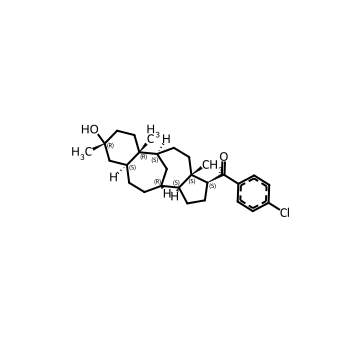 C[C@@]1(O)CC[C@]2(C)[C@H]3CC[C@]4(C)[C@@H](C(=O)c5ccc(Cl)cc5)CC[C@H]4[C@H](CC[C@H]2C1)C3